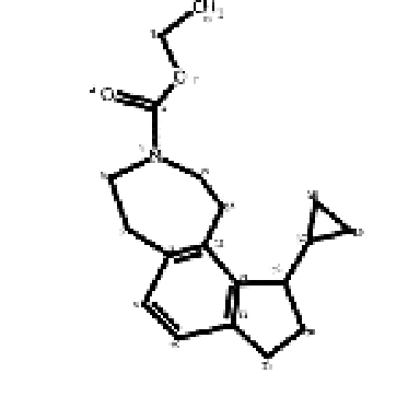 CCOC(=O)N1CCc2ccc3c(c2CC1)C(C1CC1)CC3